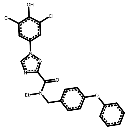 CCN(Cc1ccc(Oc2ccccc2)cc1)C(=O)c1ncn(-c2cc(Cl)c(O)c(Cl)c2)n1